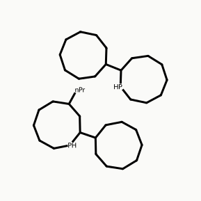 C1CCCCC(C2CCCCCCCP2)CCC1.CCCC1CCCCCPC(C2CCCCCCCC2)C1